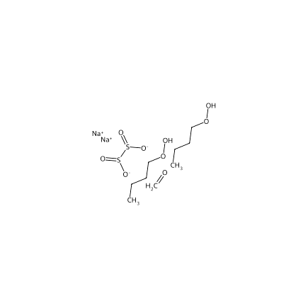 C=O.CCCCOO.CCCCOO.O=S([O-])S(=O)[O-].[Na+].[Na+]